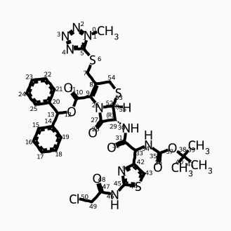 Cn1nnnc1SCC1=C(C(=O)OC(c2ccccc2)c2ccccc2)N2C(=O)[C@@H](NC(=O)C(NC(=O)OC(C)(C)C)c3csc(NC(=O)CCl)n3)[C@H]2SC1